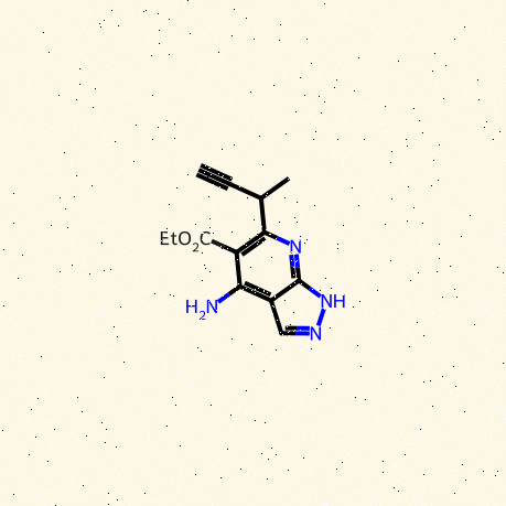 C#CC(C)c1nc2[nH]ncc2c(N)c1C(=O)OCC